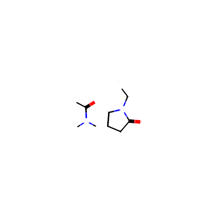 CC(=O)N(C)C.CCN1CCCC1=O